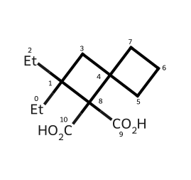 CCC1(CC)CC2(CCC2)C1(C(=O)O)C(=O)O